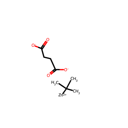 C[C](C)(C)[Zn+2].O=C([O-])CCC(=O)[O-]